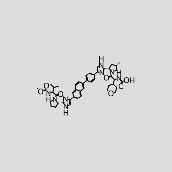 COC(=O)NC(C(=O)N1C[C@@H](C)C[C@H]1c1nc(-c2ccc3cc(-c4ccc(-c5c[nH]c([C@@H]6C[C@H](C)CN6C(=O)C(NC(=O)O)C6CCOCC6)n5)cc4)ccc3c2)c[nH]1)C(C)C